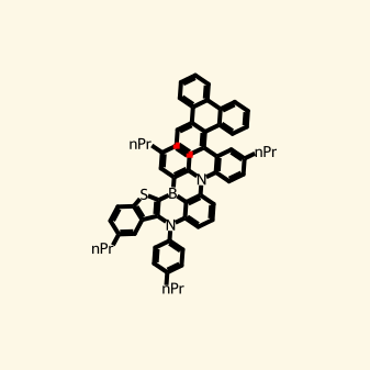 CCCc1ccc(N2c3cccc4c3B(c3cc(CCC)ccc3N4c3ccc(CCC)cc3-c3cccc4c5ccccc5c5ccccc5c34)c3sc4ccc(CCC)cc4c32)cc1